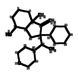 C=C1C2(C)CCCC(O)C2CC1(C1CCCCC1)C(C)N1CCOCC1